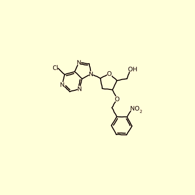 O=[N+]([O-])c1ccccc1COC1CC(n2cnc3c(Cl)ncnc32)OC1CO